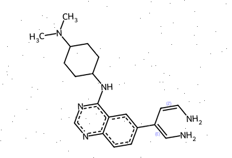 CN(C)C1CCC(Nc2ncnc3ccc(C(/C=C\N)=C/N)cc23)CC1